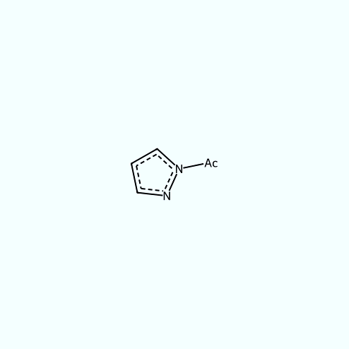 CC(=O)n1cccn1